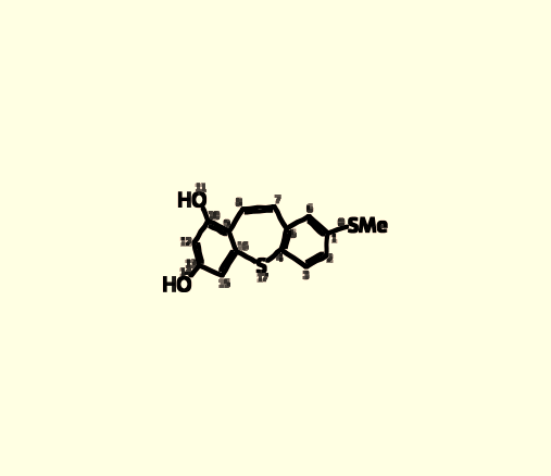 CSc1ccc2c(c1)C=Cc1c(O)cc(O)cc1S2